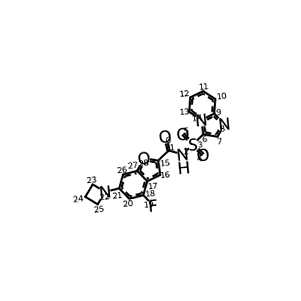 O=C(NS(=O)(=O)c1cnc2ccccn12)c1cc2c(F)cc(N3CCC3)cc2o1